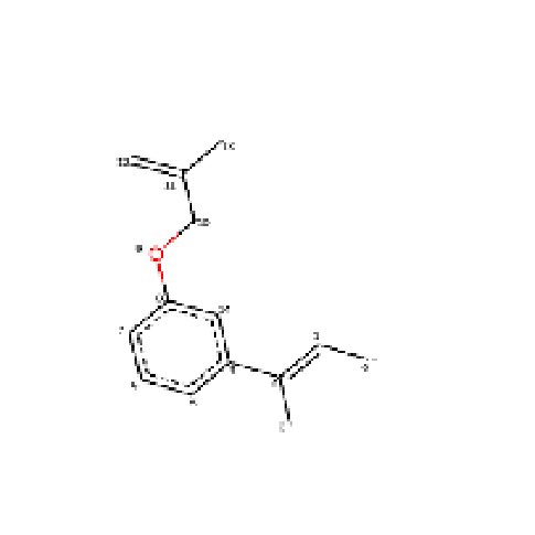 [CH2]C=C(C)c1cccc(OCC(=C)C)c1